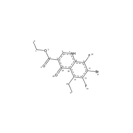 CCOC(=O)c1c[nH]c2c(F)c(Br)c(F)c(CC)c2c1=O